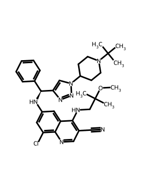 COC(C)(C)CNc1c(C#N)cnc2c(Cl)cc(N[C@@H](c3ccccc3)c3cn(C4CCN(C(C)(C)C)CC4)nn3)cc12